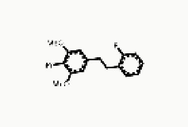 COc1cc(CCc2ccccc2F)cc(OC)c1C(C)C